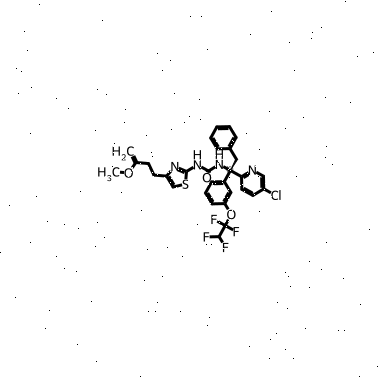 C=C(CCc1csc(NC(=O)N[C@@](Cc2ccccc2)(c2cccc(OC(F)(F)C(F)F)c2)c2ccc(Cl)cn2)n1)OC